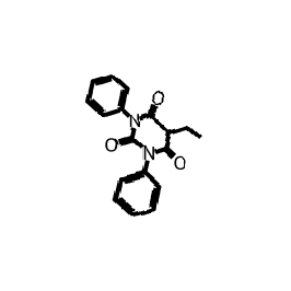 CCC1C(=O)N(c2ccccc2)C(=O)N(c2ccccc2)C1=O